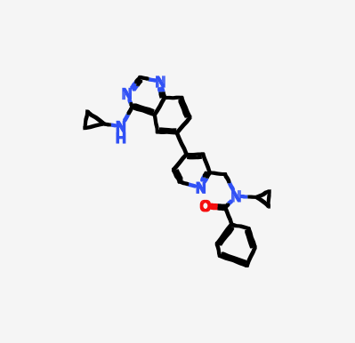 O=C(c1ccccc1)N(Cc1cc(-c2ccc3ncnc(NC4CC4)c3c2)ccn1)C1CC1